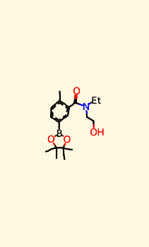 CCN(CCO)C(=O)c1cc(B2OC(C)(C)C(C)(C)O2)ccc1C